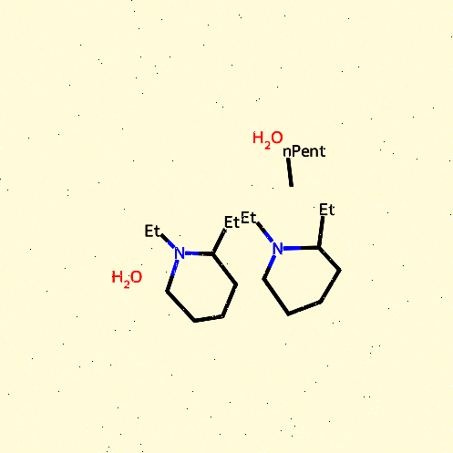 CCC1CCCCN1CC.CCC1CCCCN1CC.CCCCCC.O.O